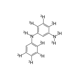 [2H]c1cc(N([2H])c2cc(N([2H])[2H])c([2H])c([2H])c2[2H])c([2H])c([2H])c1[2H]